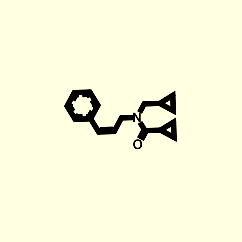 O=C(C1CC1)N(C/C=C\c1ccccc1)CC1CC1